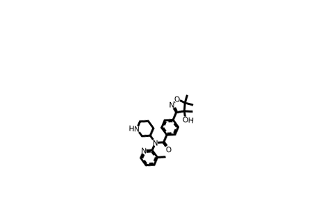 Cc1cccnc1N(C(=O)c1ccc(C2=NOC(C)(C)C2(C)O)cc1)C1CCCNC1